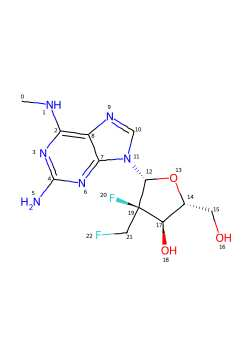 CNc1nc(N)nc2c1ncn2[C@@H]1O[C@H](CO)[C@@H](O)[C@]1(F)CF